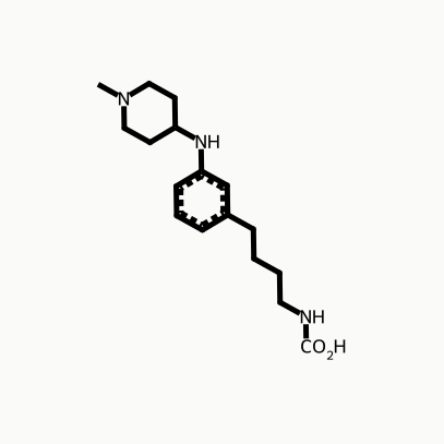 CN1CCC(Nc2cccc(CCCCNC(=O)O)c2)CC1